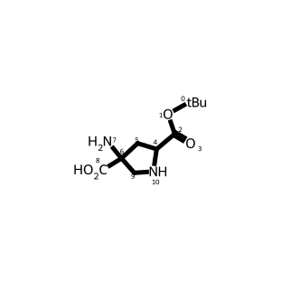 CC(C)(C)OC(=O)C1CC(N)(C(=O)O)CN1